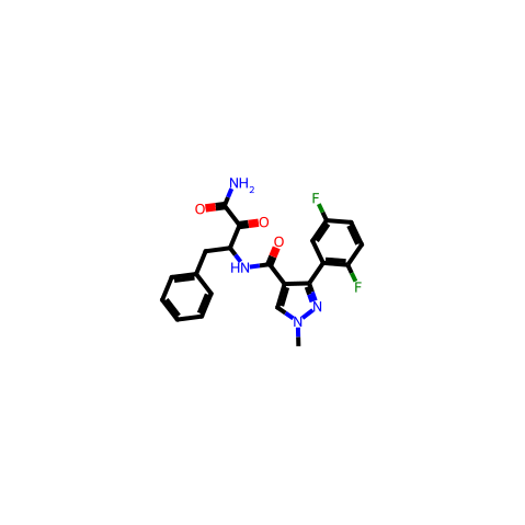 Cn1cc(C(=O)NC(Cc2ccccc2)C(=O)C(N)=O)c(-c2cc(F)ccc2F)n1